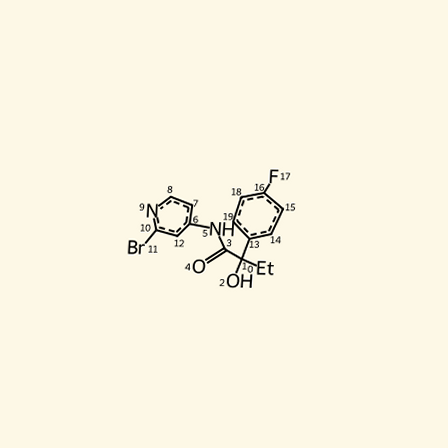 CCC(O)(C(=O)Nc1ccnc(Br)c1)c1ccc(F)cc1